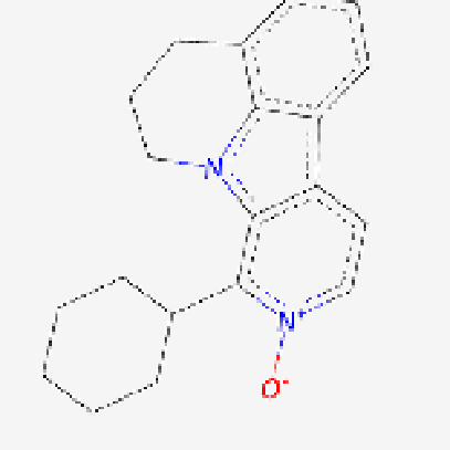 [O-][n+]1ccc2c3cccc4c3n(c2c1C1CCCCC1)CCC4